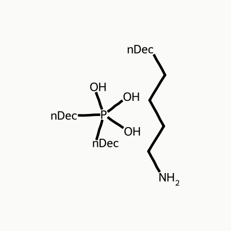 CCCCCCCCCCCCCCN.CCCCCCCCCCP(O)(O)(O)CCCCCCCCCC